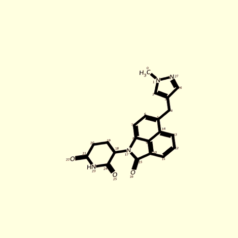 Cn1cc(Cc2ccc3c4c(cccc24)C(=O)N3C2CCC(=O)NC2=O)cn1